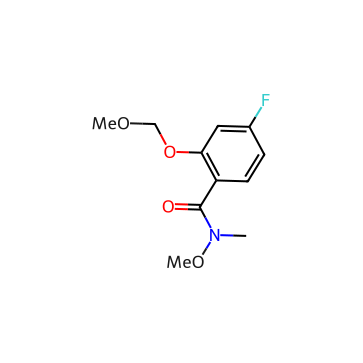 COCOc1cc(F)ccc1C(=O)N(C)OC